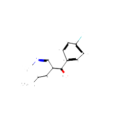 C/N=C\C(CCOC)C(=O)c1ccc(F)cc1